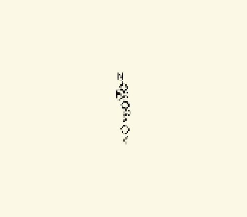 CCC[C@H]1CC[C@H](C=CCOc2ccc(C(=O)Oc3ccc(C#N)cc3F)cc2)CC1